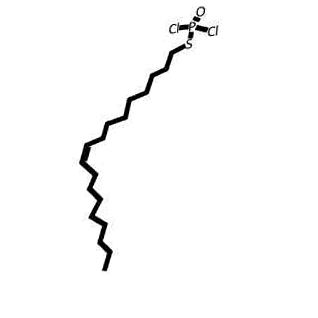 CCCCCCCC/C=C\CCCCCCCCSP(=O)(Cl)Cl